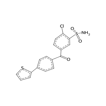 NS(=O)(=O)c1cc(C(=O)c2ccc(-c3cccs3)cc2)ccc1Cl